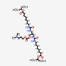 CCCCCCCCC(CCCCCCCC)OC(=O)CCCCCCCNC(=O)NCC(CNC(=O)NCCCCCCCC(=O)OC(CCCCCCCC)CCCCCCCC)COC(=O)OCCCN(CC)CC